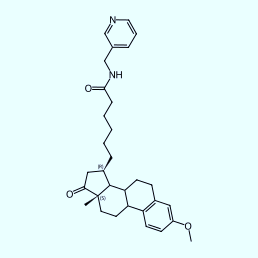 COc1ccc2c(c1)CCC1C2CC[C@]2(C)C(=O)C[C@@H](CCCCCC(=O)NCc3cccnc3)C12